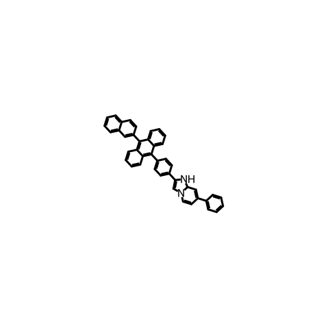 C1=CN2C=C(c3ccc(-c4c5ccccc5c(-c5ccc6ccccc6c5)c5ccccc45)cc3)NC2C=C1c1ccccc1